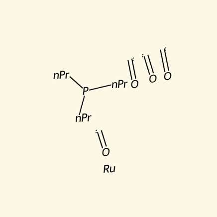 CCCP(CCC)CCC.[C]=O.[C]=O.[C]=O.[C]=O.[Ru]